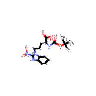 CC(C)(C)OC(=O)N[C@@H](CCCn1c([N+](=O)[O-])nc2ccccc21)C(=O)O